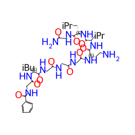 CC[C@H](C)C(NC(=O)CNC(=O)c1ccccc1)C(=O)NCC(=O)NCC(=O)NCC(=O)N[C@@H](CCN)C(=O)NC(C(=O)N[C@@H](CC(C)C)C(=O)NCC(N)=O)C(C)C